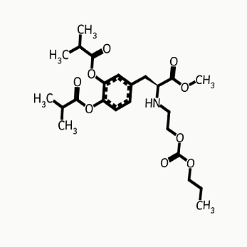 CCCOC(=O)OCCN[C@@H](Cc1ccc(OC(=O)C(C)C)c(OC(=O)C(C)C)c1)C(=O)OC